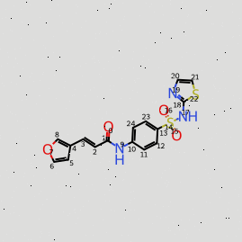 O=C(/C=C/c1ccoc1)Nc1ccc(S(=O)(=O)Nc2nccs2)cc1